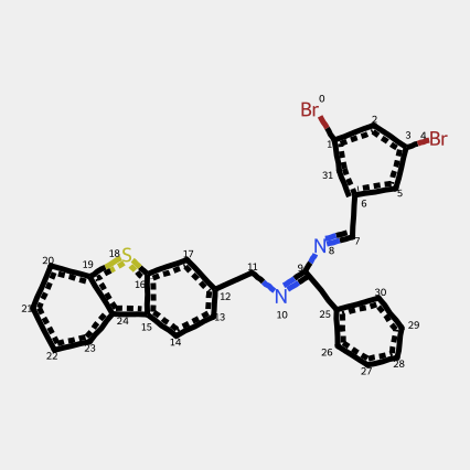 Brc1cc(Br)cc(/C=N/C(=N\Cc2ccc3c(c2)sc2ccccc23)c2ccccc2)c1